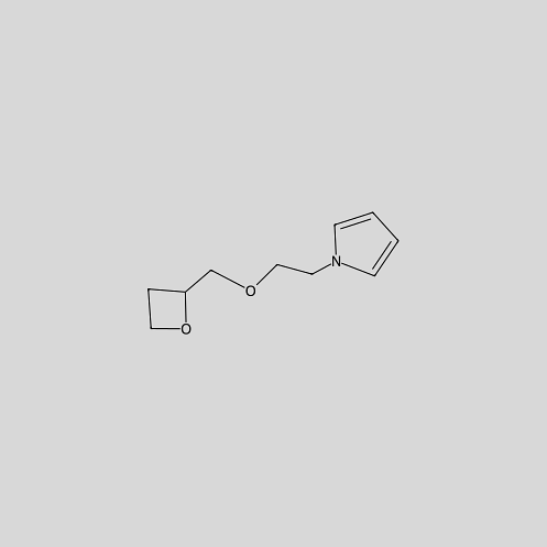 c1ccn(CCOCC2CCO2)c1